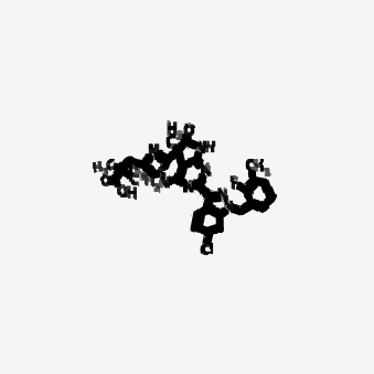 Cc1cccc(Cn2nc(-c3nc(N)c4c(n3)NC(=O)C4(C)c3nc(CC(C)(C)C(=O)O)cs3)c3ccc(Cl)cc32)c1F